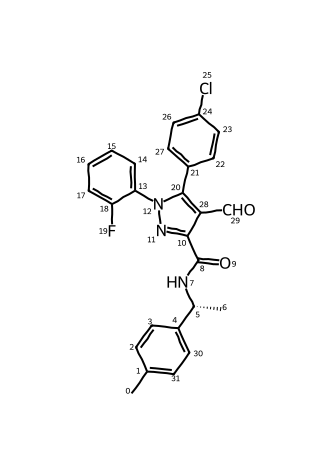 Cc1ccc([C@@H](C)NC(=O)c2nn(-c3ccccc3F)c(-c3ccc(Cl)cc3)c2C=O)cc1